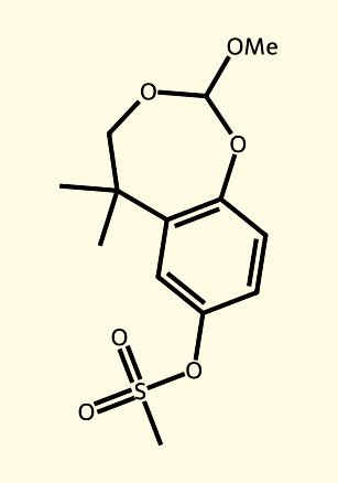 COC1OCC(C)(C)c2cc(OS(C)(=O)=O)ccc2O1